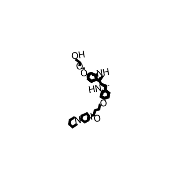 O=C(CCCOc1ccc2[c]c(-c3c[nH]c4cc(OCOCCO)ccc34)[nH]c2c1)N1CCC(N2CCCCC2)CC1